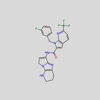 O=C(NC1=CCn2c1nc1c2NCCC1)c1cc2ccc(C(F)(F)F)nc2n1Cc1cccc(F)c1